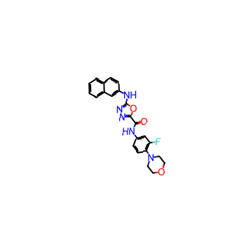 O=C(Nc1ccc(N2CCOCC2)c(F)c1)c1nnc(Nc2ccc3ccccc3c2)o1